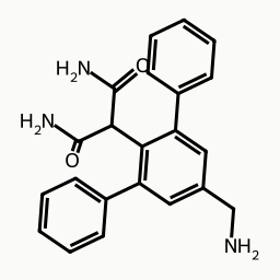 NCc1cc(-c2ccccc2)c(C(C(N)=O)C(N)=O)c(-c2ccccc2)c1